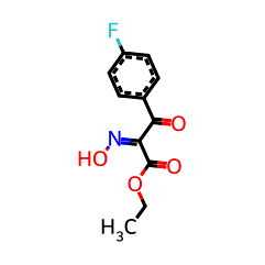 CCOC(=O)C(=NO)C(=O)c1ccc(F)cc1